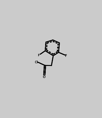 O=C(Cl)Cc1c(F)cccc1F